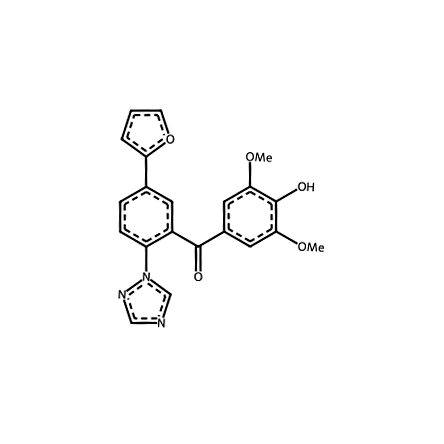 COc1cc(C(=O)c2cc(-c3ccco3)ccc2-n2cncn2)cc(OC)c1O